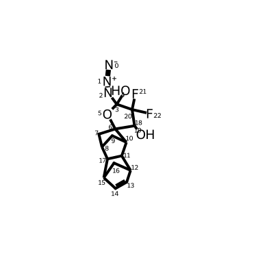 [N-]=[N+]=NC1(O)OC2(CC3CC2C2C4C=CC(C4)C32)C(O)C1(F)F